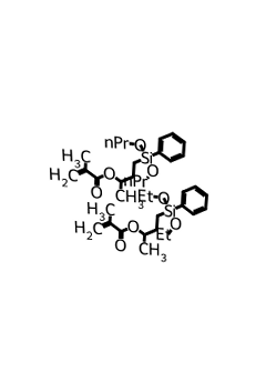 C=C(C)C(=O)OC(C)CC[Si](OCC)(OCC)c1ccccc1.C=C(C)C(=O)OC(C)CC[Si](OCCC)(OCCC)c1ccccc1